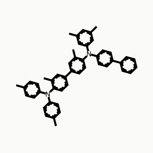 Cc1ccc(N(c2ccc(C)cc2)c2ccc(-c3ccc(N(c4ccc(-c5ccccc5)cc4)c4cc(C)cc(C)c4)c(C)c3)cc2C)cc1